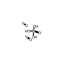 O=P(O)(O)O.[O]=[V].[O]=[V]